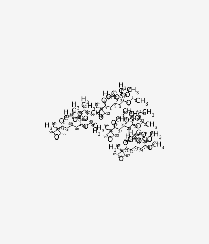 CCOC(CCCC(OC)C1(C)COC1)[Si](C)(OC)OC.CCOC(CCCC(OC)C1(C)COC1)[Si](C)(OCC)OCC.CCOC(CCCC(OC)C1(C)COC1)[Si](OCC)(OCC)OCC.COC(CCCC(OC)[Si](OC)(OC)OC)C1(C)COC1